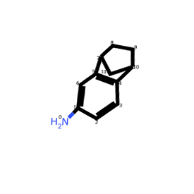 Nc1ccc2c(c1)C1CCC2C1